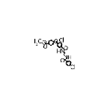 CCOC(=O)[C@H]1CC[C@@H](Oc2ccc(C(=O)NCCNC(=O)c3ccc(Cl)cc3)cc2Cl)CC1